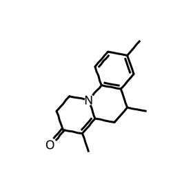 CC1=C2CC(C)c3cc(C)ccc3N2CCC1=O